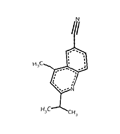 Cc1cc(C(C)C)nc2ccc(C#N)cc12